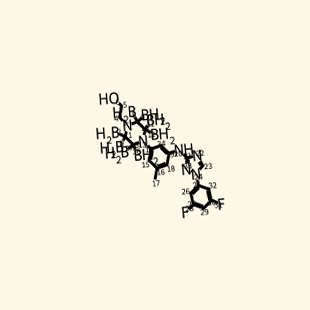 BC1(B)N(CCO)C(B)(B)C(B)(B)N(c2cc(C)cc(Nc3ncn(-c4cc(F)cc(F)c4)n3)c2)C1(B)B